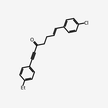 CCc1ccc(C#CC(=O)CC/C=C/c2ccc(Cl)cc2)cc1